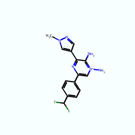 Cn1cc(-c2nc(-c3ccc(C(F)F)cc3)c[n+](N)c2N)cn1